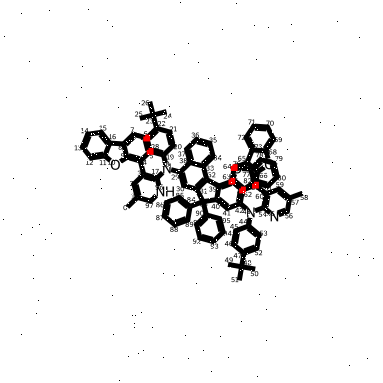 CC1=CC(c2cccc3c2oc2ccccc23)=C(N(c2ccc(C(C)(C)C)cc2)c2cc3c(c4ccccc24)-c2c(cc(N(c4ccc(C(C)(C)C)cc4)c4ncc(C)cc4-c4cccc5c4oc4ccccc45)c4c2oc2ccccc24)C3(c2ccccc2)c2ccccc2)NC1